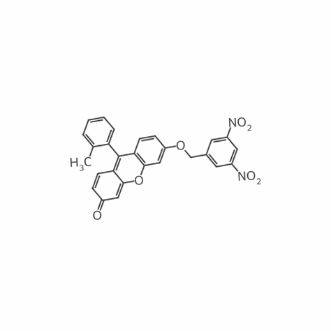 Cc1ccccc1-c1c2ccc(=O)cc-2oc2cc(OCc3cc([N+](=O)[O-])cc([N+](=O)[O-])c3)ccc12